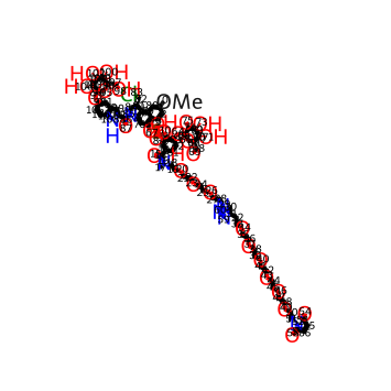 COc1ccc2c(OS(=O)(=O)Oc3cc(C(=O)N(C)CCOCCOCCOCCn4cc(CCOCCOCCOCCOCCOCCOCCN5C(=O)C=CC5=O)nn4)ccc3O[C@@H]3O[C@H](CO)[C@H](O)[C@H](O)C3O)cc3c(c2c1)[C@H](CCl)CN3C(=O)c1cc2cc(OC3O[C@H](CO)[C@H](O)[C@H](O)[C@H]3O)ccc2[nH]1